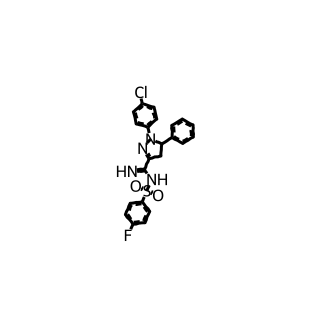 N=C(NS(=O)(=O)c1ccc(F)cc1)C1=NN(c2ccc(Cl)cc2)C(c2ccccc2)C1